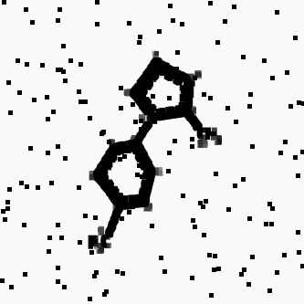 Cc1ccc(-n2ccnc2C)cc1